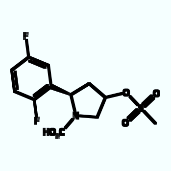 CS(=O)(=O)OC1C[C@H](c2cc(F)ccc2F)N(C(=O)O)C1